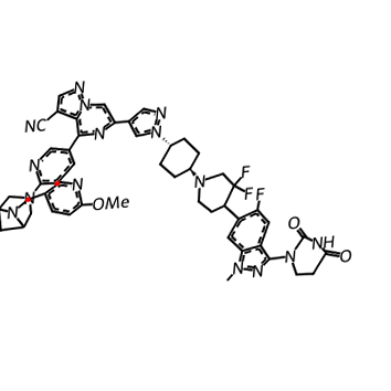 COc1ccc(CN2C3CC2CN(c2ccc(-c4nc(-c5cnn([C@H]6CC[C@H](N7CCC(c8cc9c(cc8F)c(N8CCC(=O)NC8=O)nn9C)C(F)(F)C7)CC6)c5)cn5ncc(C#N)c45)cn2)C3)cn1